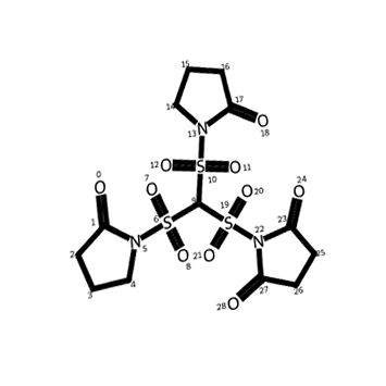 O=C1CCCN1S(=O)(=O)C(S(=O)(=O)N1CCCC1=O)S(=O)(=O)N1C(=O)CCC1=O